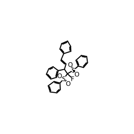 O=S(=O)(c1ccccc1)C(F)(C(C=Cc1ccccc1)c1ccccc1)S(=O)(=O)c1ccccc1